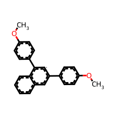 COc1ccc(-c2[c]c(-c3ccc(OC)cc3)c3ccccc3c2)cc1